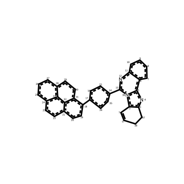 C1=Cc2c(nc3c4ccccc4nc(-c4ccc(-c5ccc6ccc7cccc8ccc5c6c78)cc4)n23)CC1